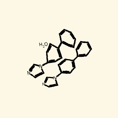 O.c1ccc(-c2ccc(-n3ccnc3)cc2)cc1.c1ccc(-c2ccc(-n3ccnc3)cc2)cc1